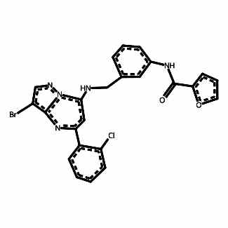 O=C(Nc1cccc(CNc2cc(-c3ccccc3Cl)nc3c(Br)cnn23)c1)c1ccco1